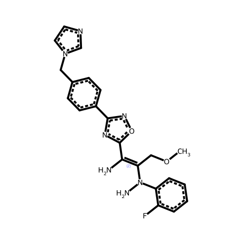 COC/C(=C(/N)c1nc(-c2ccc(Cn3ccnc3)cc2)no1)N(N)c1ccccc1F